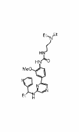 CCC(Nc1cncc(-c2ccc(NC(=O)NCCCN(CC)CC)c(OC)c2)n1)c1cccnc1